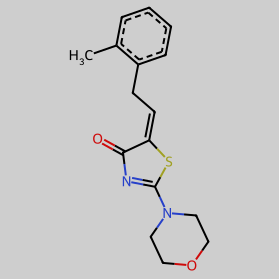 Cc1ccccc1CC=C1SC(N2CCOCC2)=NC1=O